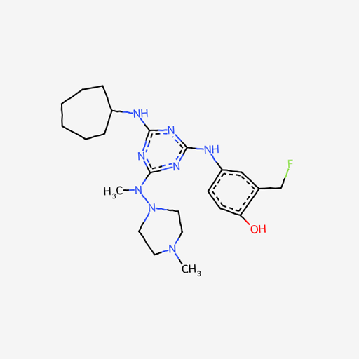 CN1CCN(N(C)c2nc(Nc3ccc(O)c(CF)c3)nc(NC3CCCCCC3)n2)CC1